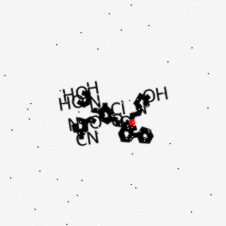 Cc1c(Cl)c(OC[C@@]2(OCCCN3CCC(O)C3)C=CC=C(c3ccccc3)C2(C)C)cc(OCc2cncc(C#N)c2)c1CNC(CO)CO